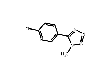 Cn1nnnc1-c1ccc(Cl)nc1